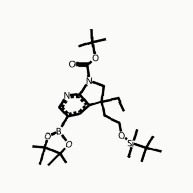 CCC1(CCO[Si](C)(C)C(C)(C)C)CN(C(=O)OC(C)(C)C)c2ncc(B3OC(C)(C)C(C)(C)O3)cc21